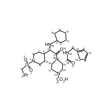 CC(C)CS(=O)(=O)N1CCC([C@@H](NC2CCCCC2)C(=O)N2CCN(C(=O)O)C[C@H]2C(=O)NCc2cccs2)CC1